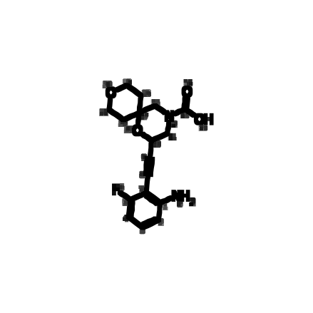 Nc1cccc(F)c1C#CC1CN(C(=O)O)CC2(CCOCC2)O1